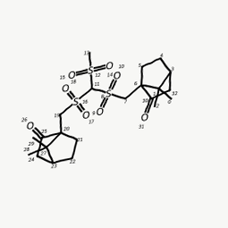 CC1(C)C2CCC1(CS(=O)(=O)C(S(C)(=O)=O)S(=O)(=O)CC13CCC(CC1=O)C3(C)C)C(=O)C2